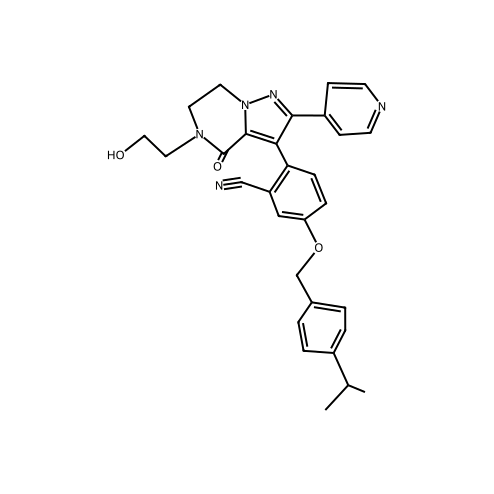 CC(C)c1ccc(COc2ccc(-c3c(-c4ccncc4)nn4c3C(=O)N(CCO)CC4)c(C#N)c2)cc1